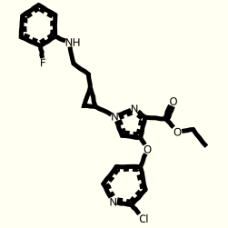 CCOC(=O)c1nn(C2CC2CCNc2ccccc2F)cc1Oc1ccnc(Cl)c1